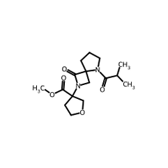 COC(=O)C1(N2CC3(CCCN3C(=O)C(C)C)C2=O)CCOC1